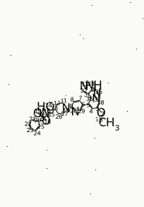 CCOc1cc(-c2ccc(N3CCC(O)(C=NS(=O)(=O)c4ccccc4)CC3)nc2)c2c3cn[nH]c3nn2c1